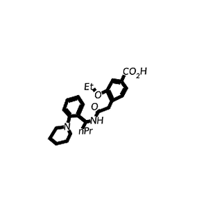 CCCC(NC(=O)Cc1ccc(C(=O)O)cc1OCC)c1ccccc1N1CCCCC1